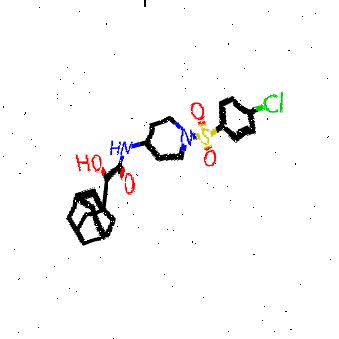 O=C(NC1CCN(S(=O)(=O)c2ccc(Cl)cc2)CC1)C(O)C12CC3CC(CC(C3)C1)C2